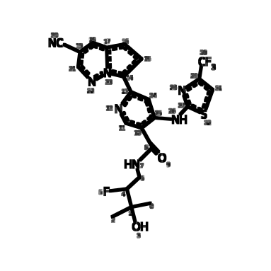 CC(C)(O)C(F)CNC(=O)c1cnc(-c2ccc3cc(C#N)cnn23)cc1Nc1nc(C(F)(F)F)cs1